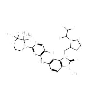 Cn1c(=O)n(CC2CCCN2C(F)C(F)F)c2cc(Nc3nc(N4CCOC(C)(C)C4(C)C)ncc3Cl)ccc21